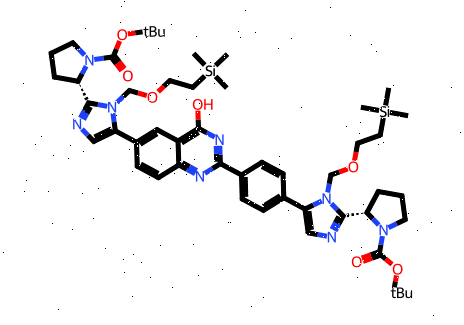 CC(C)(C)OC(=O)N1CCC[C@H]1c1ncc(-c2ccc(-c3nc(O)c4cc(-c5cnc([C@@H]6CCCN6C(=O)OC(C)(C)C)n5COCC[Si](C)(C)C)ccc4n3)cc2)n1COCC[Si](C)(C)C